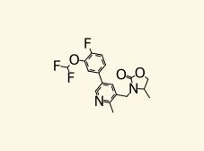 Cc1ncc(-c2ccc(F)c(OC(F)F)c2)cc1CN1C(=O)OCC1C